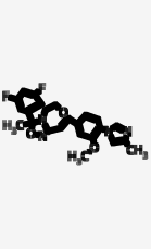 COc1cc(C2=CC3=NOC(C)(c4cc(F)cc(F)c4)N3CCO2)ccc1-n1cnc(C)c1